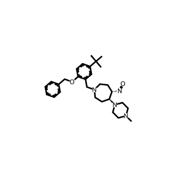 CN1CCN([C@H]2CCN(Cc3cc(C(C)(C)C)ccc3OCc3ccccc3)CC[C@@H]2N=O)CC1